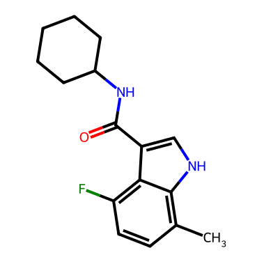 Cc1ccc(F)c2c(C(=O)NC3CCCCC3)c[nH]c12